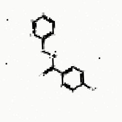 CC(=O)c1ccc(C(=O)NCc2ccccc2)cc1